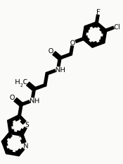 C=C(CCNC(=O)COc1ccc(Cl)c(F)c1)NC(=O)c1cc2cccnc2s1